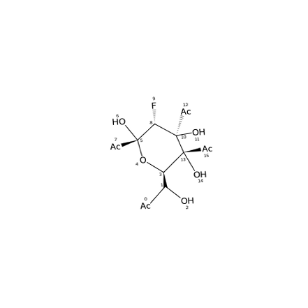 CC(=O)C(O)[C@H]1O[C@@](O)(C(C)=O)[C@H](F)[C@](O)(C(C)=O)[C@@]1(O)C(C)=O